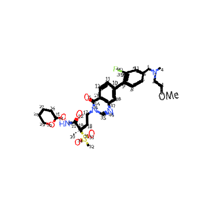 COCCN(C)Cc1ccc(-c2ccc3c(=O)n(CC[C@](C)(C(=O)NOC4CCCCO4)S(C)(=O)=O)cnc3c2)c(F)c1